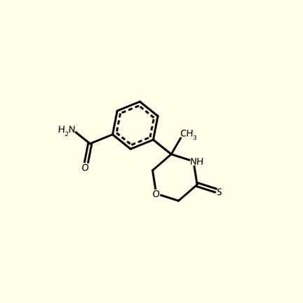 CC1(c2cccc(C(N)=O)c2)COCC(=S)N1